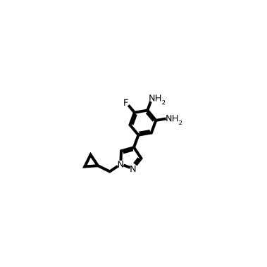 Nc1cc(-c2cnn(CC3CC3)c2)cc(F)c1N